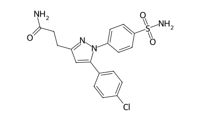 NC(=O)CCc1cc(-c2ccc(Cl)cc2)n(-c2ccc(S(N)(=O)=O)cc2)n1